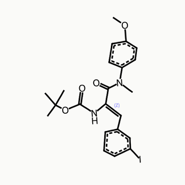 COc1ccc(N(C)C(=O)/C(=C/c2cccc(I)c2)NC(=O)OC(C)(C)C)cc1